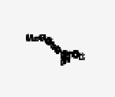 COc1ccc(COc2ccc(-c3cc4c(s3)c(=O)ncn4Cc3ccc(Cl)cc3)cc2)cc1